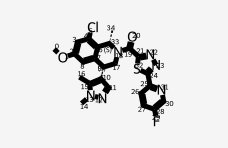 COc1cc(Cl)c2c(c1)[C@@H](c1cnn(C)c1C)CN(C(=O)c1nnc(-c3ccc(F)cn3)s1)[C@H]2C